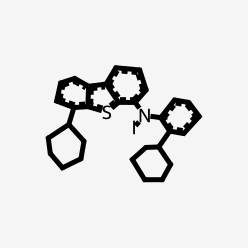 IN(c1ccccc1C1CCCCC1)c1cccc2c1sc1c(C3CCCCC3)cccc12